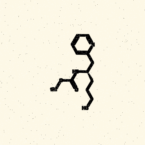 CC(C)(C)OC(=O)N[C@@H](CCCO)Cc1ccccn1